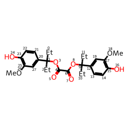 CCC(CC)(OC(=O)C(=O)OC(CC)(CC)c1ccc(O)c(OC)c1)c1ccc(O)c(OC)c1